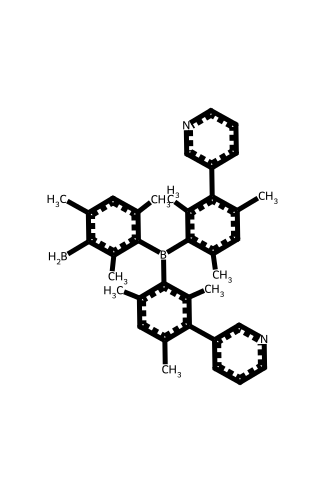 Bc1c(C)cc(C)c(B(c2c(C)cc(C)c(-c3cccnc3)c2C)c2c(C)cc(C)c(-c3cccnc3)c2C)c1C